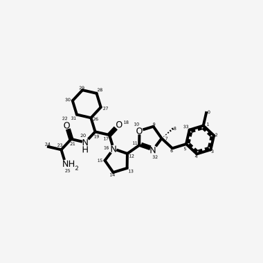 Cc1cccc(C[C@]2(C)COC(C3CCCN3C(=O)C(NC(=O)C(C)N)C3CCCCC3)=N2)c1